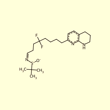 CC(C)(C)[S+]([O-])/N=C\CCC(F)(F)CCCCc1ccc2c(n1)NCCC2